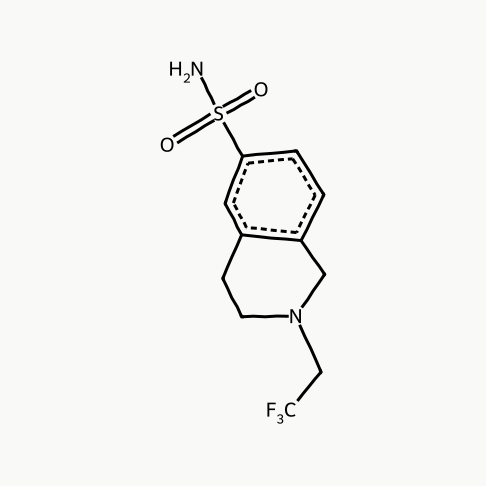 NS(=O)(=O)c1ccc2c(c1)CCN(CC(F)(F)F)C2